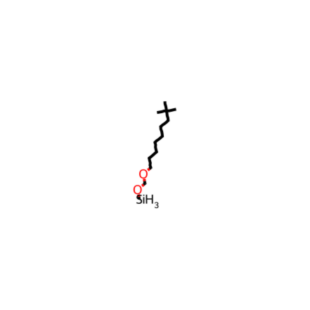 CC(C)(C)CCCCCCCOCO[SiH3]